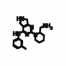 Cc1cccc(Nc2nc(N3CCCCC3CN)nc3c2CNC3)c1